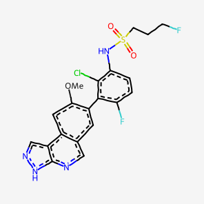 COc1cc2c(cnc3[nH]ncc32)cc1-c1c(F)ccc(NS(=O)(=O)CCCF)c1Cl